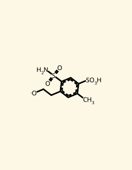 Cc1cc(CC[O])c(S(N)(=O)=O)cc1S(=O)(=O)O